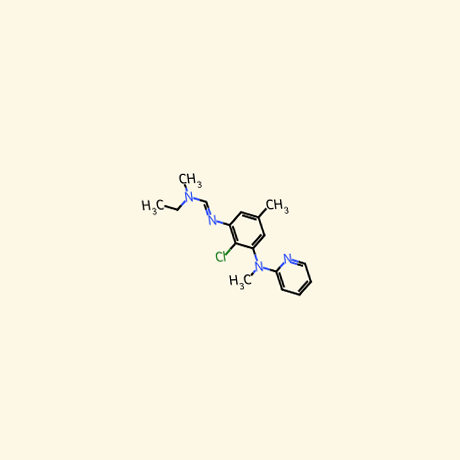 CCN(C)C=Nc1cc(C)cc(N(C)c2ccccn2)c1Cl